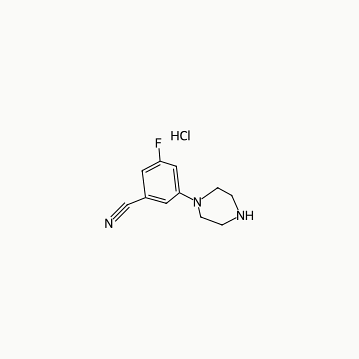 Cl.N#Cc1cc(F)cc(N2CCNCC2)c1